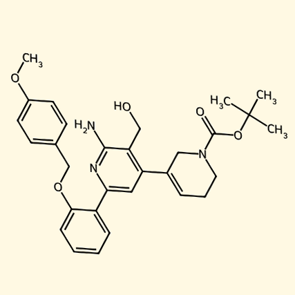 COc1ccc(COc2ccccc2-c2cc(C3=CCCN(C(=O)OC(C)(C)C)C3)c(CO)c(N)n2)cc1